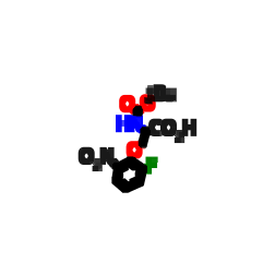 CC(C)(C)OC(=O)NC(COc1c(F)cccc1[N+](=O)[O-])C(=O)O